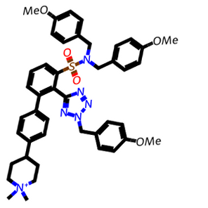 COc1ccc(CN(Cc2ccc(OC)cc2)S(=O)(=O)c2cccc(-c3ccc(C4CC[N+](C)(C)CC4)cc3)c2-c2nnn(Cc3ccc(OC)cc3)n2)cc1